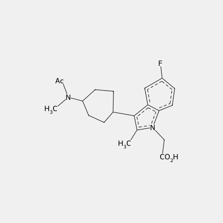 CC(=O)N(C)C1CCC(c2c(C)n(CC(=O)O)c3ccc(F)cc23)CC1